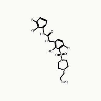 COCCN1CCN(S(=O)(=O)c2c(Cl)ccc(NC(=O)Nc3cccc(F)c3Cl)c2O)CC1